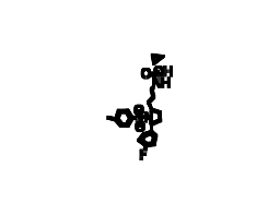 C1CC1.Cc1ccc(S(=O)(=O)N2[C@@H](CCCNC(=O)O)CC[C@H]2c2ccc(F)cc2)cc1